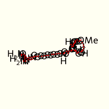 COC1CC2CC[C@@H](C)[C@@](O)(O2)C(=O)C(=O)N2CCCC[C@H]2C(=O)OC(CC(O)CCC2CCC(OC(=O)NCCOCCOCCOCCOCCOCCOCCOCCOCCC(=O)N3CCc4cc(Cn5nc(-c6ccc7oc(N)nc7c6)c6c(N)ncnc65)ccc4C3)CC2)C(C)/C=C(\C)C(O)CC(=O)C(C)CC(C)/C=C/C=C/C=C/1C